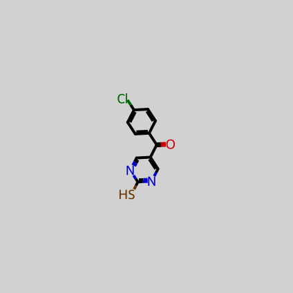 O=C(c1ccc(Cl)cc1)c1cnc(S)nc1